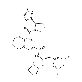 Cc1csc([C@H]2CCCN2C(=O)c2cc(C(=O)N[C@@H](Cc3cc(F)cc(F)c3)[C@H](O)[C@H]3CCCN3)cc3c2OCCC3)n1